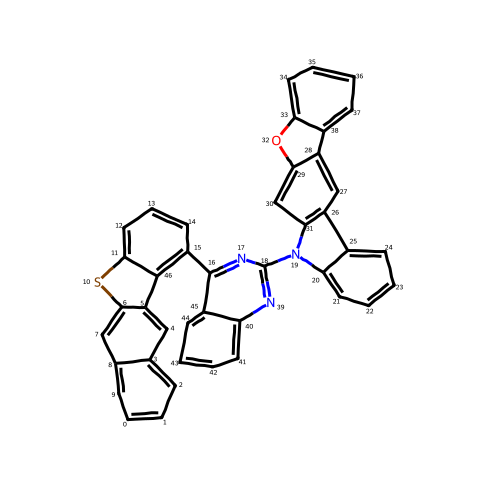 c1ccc2cc3c(cc2c1)sc1cccc(-c2nc(-n4c5ccccc5c5cc6c(cc54)oc4ccccc46)nc4ccccc24)c13